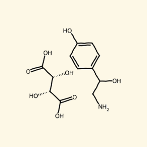 NCC(O)c1ccc(O)cc1.O=C(O)[C@H](O)[C@@H](O)C(=O)O